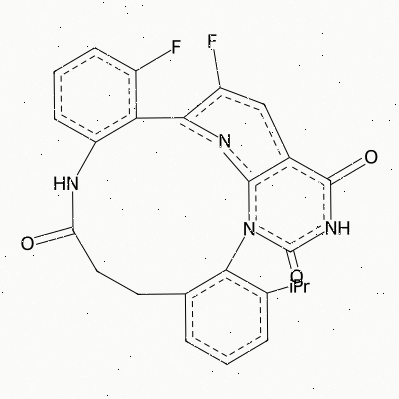 CC(C)c1cccc2c1-n1c(=O)[nH]c(=O)c3cc(F)c(nc31)-c1c(F)cccc1NC(=O)CC2